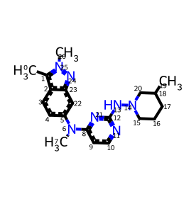 Cc1c2ccc(N(C)c3ccnc(NN4CCCC(C)C4)n3)cc2nn1C